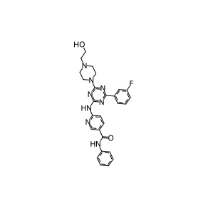 O=C(Nc1ccccc1)c1ccc(Nc2nc(-c3cccc(F)c3)nc(N3CCN(CCO)CC3)n2)nc1